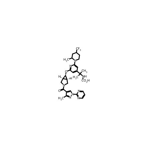 Cc1nn(-c2ncccn2)cc1C(=O)N1C[C@@H]2[C@H](C1)[C@@H]2Oc1cc(C(C)(C)NC(=O)O)cc(N2CCC(C(F)(F)F)CC2C)n1